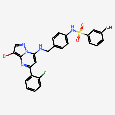 N#Cc1cccc(S(=O)(=O)Nc2ccc(CNc3cc(-c4ccccc4Cl)nc4c(Br)cnn34)cc2)c1